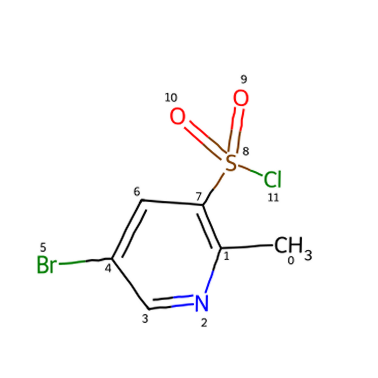 Cc1ncc(Br)cc1S(=O)(=O)Cl